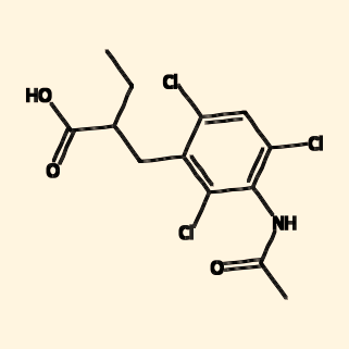 CCC(Cc1c(Cl)cc(Cl)c(NC(C)=O)c1Cl)C(=O)O